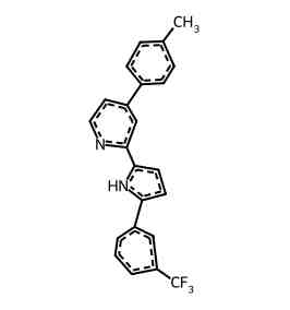 Cc1ccc(-c2ccnc(-c3ccc(-c4cccc(C(F)(F)F)c4)[nH]3)c2)cc1